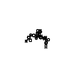 N#Cc1ccc(OC2CCC(NC(=O)c3ccc(-n4cnc(C(=O)N5CCNCC5)n4)nn3)CC2)cc1Cl.O=C(O)C(F)(F)F